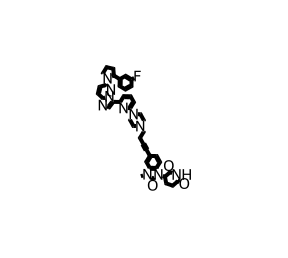 Cn1c(=O)n(C2CCC(=O)NC2=O)c2ccc(C#CCCN3CCN(c4cccc(-c5cnc6ccc(N7CCCC7c7cccc(F)c7)nn56)n4)CC3)cc21